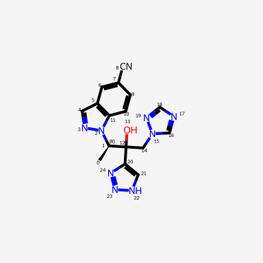 C[C@@H](n1ncc2cc(C#N)ccc21)C(O)(Cn1cncn1)c1c[nH]nn1